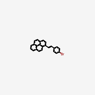 Brc1ccc(C=Cc2ccc3ccc4cccc5ccc2c3c45)cc1